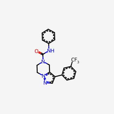 O=C(Nc1ccccc1)N1CCn2ncc(-c3cccc(C(F)(F)F)c3)c2C1